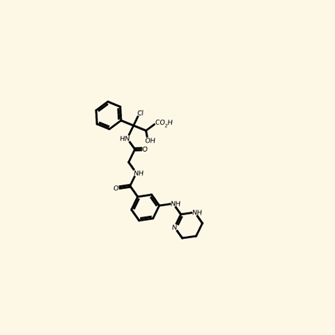 O=C(CNC(=O)c1cccc(NC2=NCCCN2)c1)NC(Cl)(c1ccccc1)C(O)C(=O)O